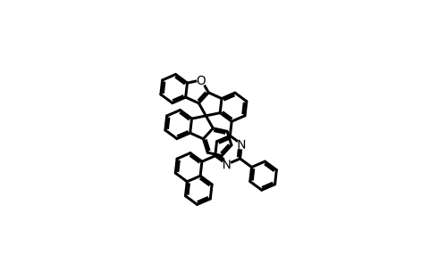 c1ccc(-c2nc(-c3cccc4c3C3(c5ccccc5-c5ccccc53)c3c-4oc4ccccc34)cc(-c3cccc4ccccc34)n2)cc1